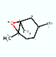 CC(C)C1CCC2(C)OC2(C)C1